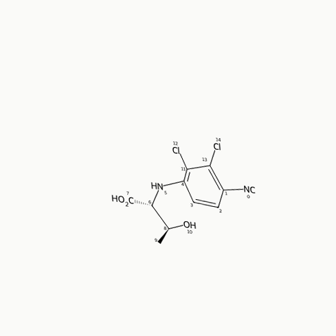 [C-]#[N+]c1ccc(N[C@@H](C(=O)O)[C@H](C)O)c(Cl)c1Cl